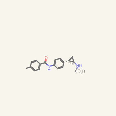 Cc1ccc(C(=O)Nc2ccc([C@@H]3C[C@H]3NC(=O)O)cc2)cc1